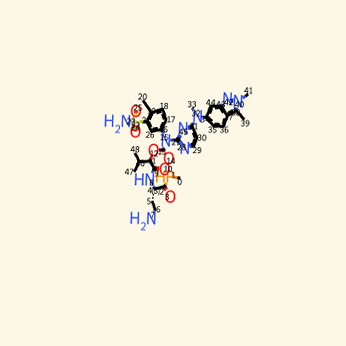 CPC(=O)[C@H](CCN)NC(=O)C(OC(=O)N(c1ccc(C)c(S(N)(=O)=O)c1)c1nccc(N(C)c2ccc3c(C)n(C)nc3c2)n1)C(C)C